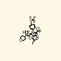 C[C@@](C(=O)NC1CCOCC1)(c1cncc(F)c1)N(C(=O)[C@H](F)Cl)c1ccc(SC(F)(F)F)cc1